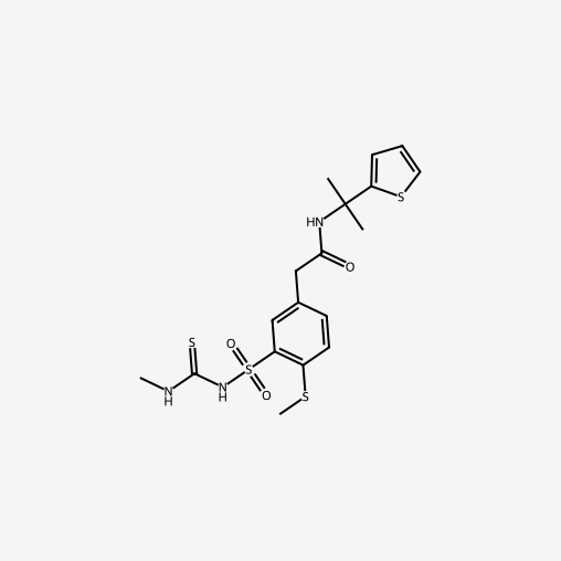 CNC(=S)NS(=O)(=O)c1cc(CC(=O)NC(C)(C)c2cccs2)ccc1SC